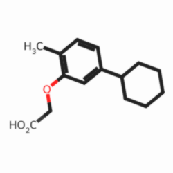 Cc1ccc(C2CCCCC2)cc1OCC(=O)O